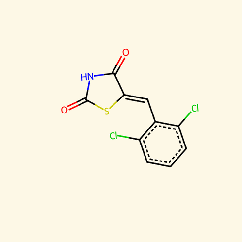 O=C1NC(=O)/C(=C/c2c(Cl)cccc2Cl)S1